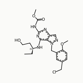 CC[C@@H](CCO)Nc1nc(NC(=O)OC)nc2cnn(Cc3cc(CCl)ccc3OC)c12